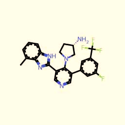 Cc1cccc2[nH]c(-c3cncc(-c4cc(F)cc(C(F)(F)F)c4)c3N3CC[C@H](N)C3)nc12